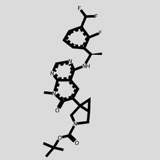 C[C@@H](Nc1ncnc2c1cc(C13CC1CN(C(=O)OC(C)(C)C)C3)c(=O)n2C)c1cccc(C(F)F)c1F